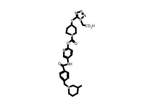 CC1CCCN(Cc2ccc(C(=O)Nc3ccc(OC(=O)N4CCC(Sc5nnnn5CC(=O)O)CC4)nc3)cc2)C1